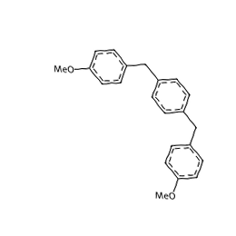 COc1ccc(Cc2ccc(Cc3ccc(OC)cc3)cc2)cc1